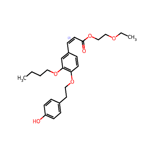 CCCCOc1cc(/C=C\C(=O)OCCOCC)ccc1OCCc1ccc(O)cc1